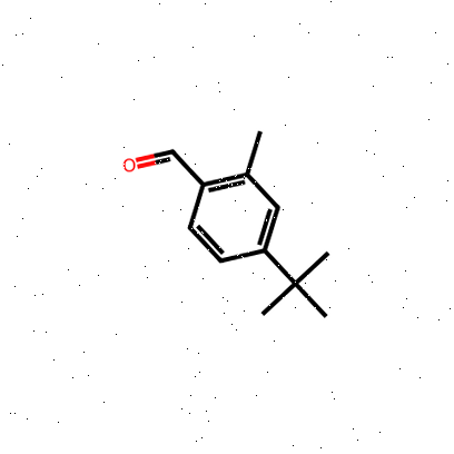 Cc1cc(C(C)(C)C)ccc1C=O